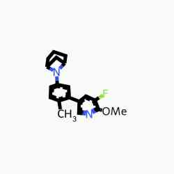 COc1ncc(-c2cc(N3C4CCCC3C4)ccc2C)cc1F